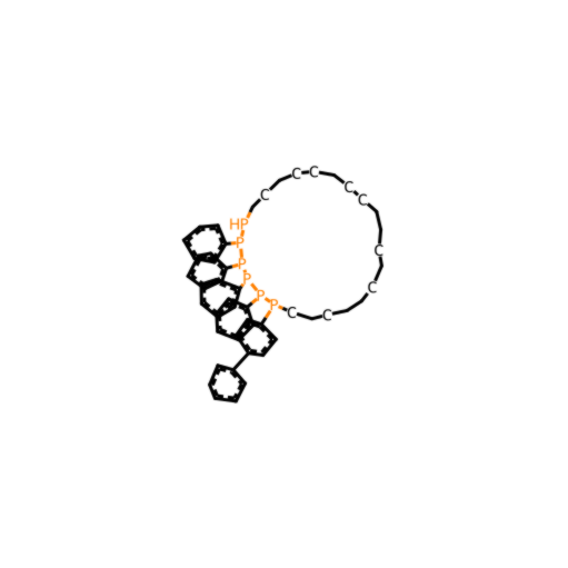 c1ccc(-c2ccc(P3CCCCCCCCCCCCCCCCCCPP(c4ccccc4)P(c4ccccc4)P(c4ccccc4)P3c3ccccc3)cc2)cc1